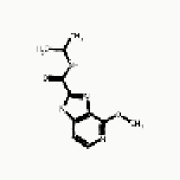 COc1nccc2[nH]c(C(=O)NC(C)C)nc12